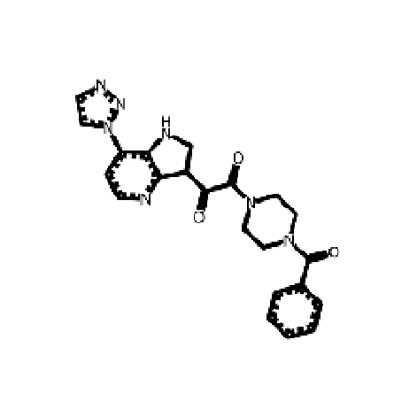 O=C(C(=O)N1CCN(C(=O)c2ccccc2)CC1)C1CNc2c(-n3ccnn3)ccnc21